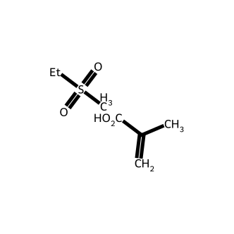 C=C(C)C(=O)O.CCS(C)(=O)=O